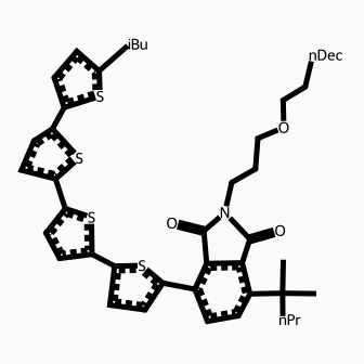 CCCCCCCCCCCCOCCCN1C(=O)c2c(-c3ccc(-c4ccc(-c5ccc(-c6ccc(C(C)CC)s6)s5)s4)s3)ccc(C(C)(C)CCC)c2C1=O